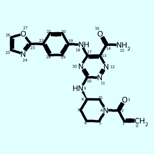 C=CC(=O)N1CCC[C@@H](Nc2nnc(C(N)=O)c(Nc3ccc(-c4ncco4)cc3)n2)C1